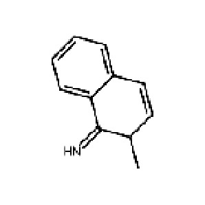 CC1C=Cc2ccccc2C1=N